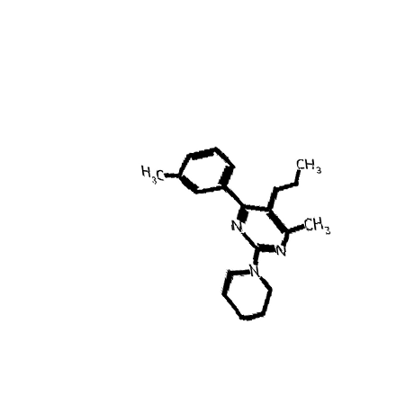 CCCc1c(C)nc(N2CCCCC2)nc1-c1cccc(C)c1